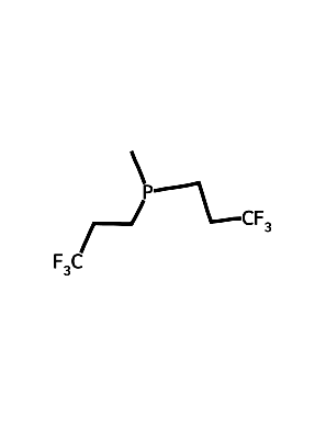 CP(CCC(F)(F)F)CCC(F)(F)F